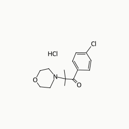 CC(C)(C(=O)c1ccc(Cl)cc1)N1CCOCC1.Cl